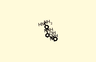 N=C(N)c1ccc2[nH]c(-c3cccc(-c4nc5ccccc5[nH]4)c3O)nc2c1